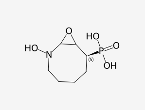 O=P(O)(O)[C@H]1CCCCN(O)C2OC21